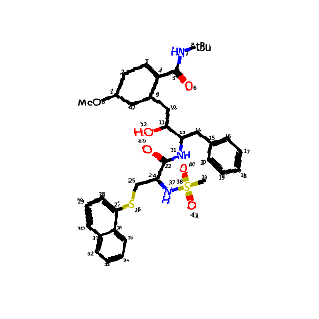 COC1CCC(C(=O)NC(C)(C)C)C(CC(O)C(Cc2ccccc2)NC(=O)C(CSc2cccc3ccccc23)NS(C)(=O)=O)C1